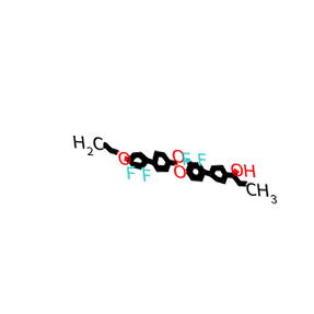 C=CCCOC1CC=C(C2C=CC(C(=O)Oc3ccc(C4CCC(C(O)CCC)CC4)c(F)c3F)CC2)C(F)=C1F